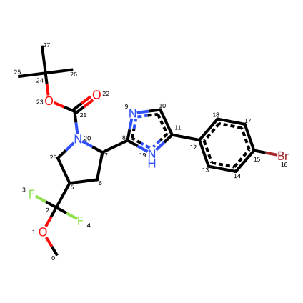 COC(F)(F)C1CC(c2ncc(-c3ccc(Br)cc3)[nH]2)N(C(=O)OC(C)(C)C)C1